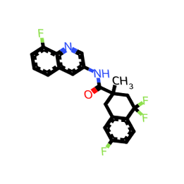 CC1(C(=O)Nc2cnc3c(F)cccc3c2)Cc2cc(F)ccc2C(F)(F)C1